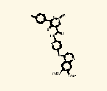 COc1cc2nccc(Oc3ccc(NC(=O)c4cn(C(C)C)nc(-c5ccc(C)cc5)c4=O)nc3)c2cc1OC